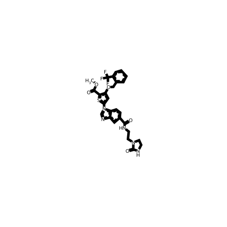 COC(=O)c1sc(-n2cnc3cc(C(=O)NCCN4CCNC4=O)ccc32)cc1OCc1ccccc1C(F)(F)F